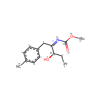 CC(C)C[C@@H](O)/C(Cc1ccc(C#N)cc1)=N\C(=O)OC(C)(C)C